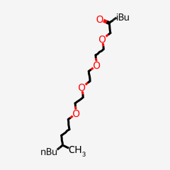 CCCCC(C)CCCOCCOCCOCCOCC(=O)C(C)CC